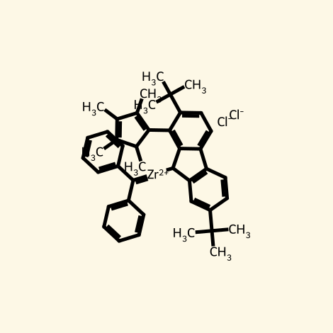 CC1=C(C)C(C)C(c2c(C(C)(C)C)ccc3c2[CH]([Zr+2]=[C](c2ccccc2)c2ccccc2)c2cc(C(C)(C)C)ccc2-3)=C1C.[Cl-].[Cl-]